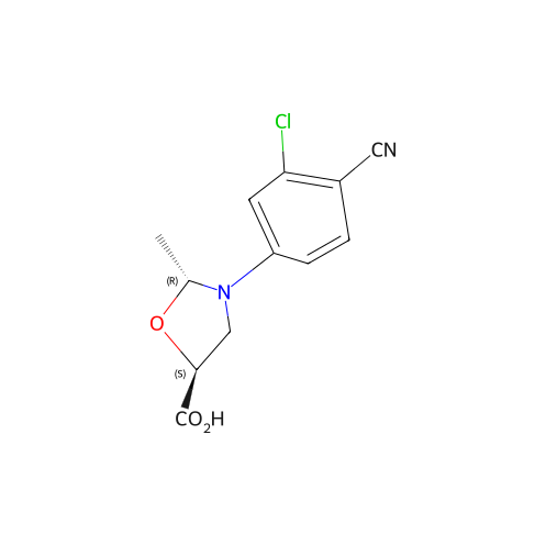 C[C@H]1O[C@H](C(=O)O)CN1c1ccc(C#N)c(Cl)c1